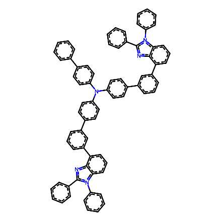 c1ccc(-c2ccc(N(c3ccc(-c4cccc(-c5cccc6c5nc(-c5ccccc5)n6-c5ccccc5)c4)cc3)c3ccc(-c4cccc(-c5cccc6c5nc(-c5ccccc5)n6-c5ccccc5)c4)cc3)cc2)cc1